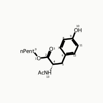 CCCCCOC(=O)[C@H](Cc1ccc(O)cc1)NC(C)=O